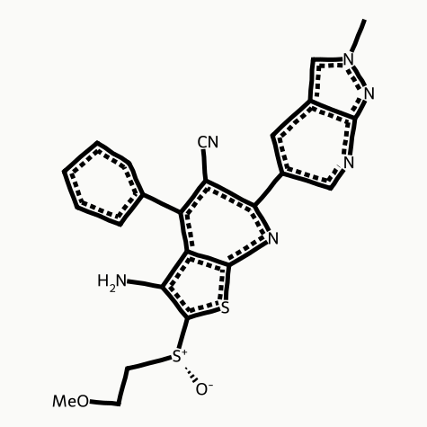 COCC[S@@+]([O-])c1sc2nc(-c3cnc4nn(C)cc4c3)c(C#N)c(-c3ccccc3)c2c1N